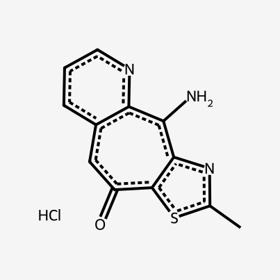 Cc1nc2c(N)c3ncccc3cc(=O)c2s1.Cl